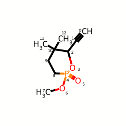 C#CC1OP(=O)(OC)CCC1(C)C